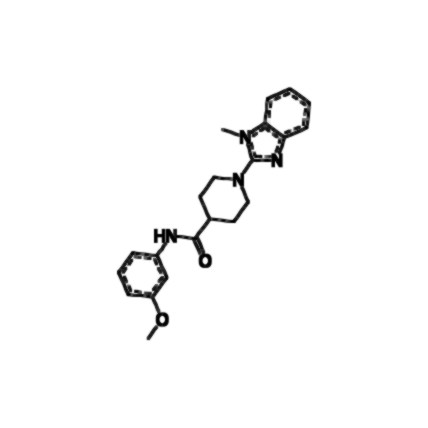 COc1cccc(NC(=O)C2CCN(c3nc4ccccc4n3C)CC2)c1